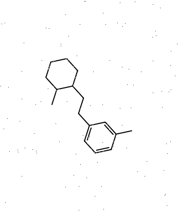 Cc1cccc(CCC2CCCCC2C)c1